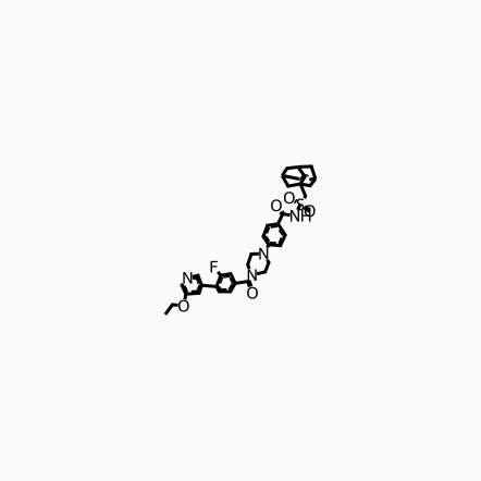 CCOc1cncc(-c2ccc(C(=O)N3CCN(c4ccc(C(=O)NS(=O)(=O)CC56CC7CC(CC(C7)C5)C6)cc4)CC3)cc2F)c1